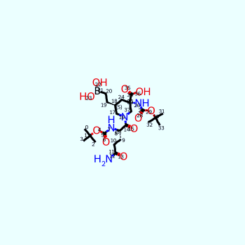 CC(C)(C)OC(=O)N[C@@H](CCC(N)=O)C(=O)N1C[C@@H](CCB(O)O)C[C@](NC(=O)OC(C)(C)C)(C(=O)O)C1